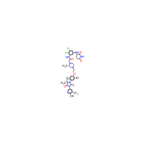 CCc1cc(N2C(=S)N(c3cnc(C#N)c(C(F)(F)F)c3)C(=O)C2(C)C)ccc1OCCN1CCN(CC(=O)Nc2cc(NC3CCC(=O)NC3=O)cc(F)c2F)C(C)C1